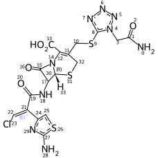 NC(=O)Cn1nnnc1SCC1=C(C(=O)O)N2C(=O)C(NC(=O)/C(=C/Cl)c3csc(N)n3)[C@H]2SC1